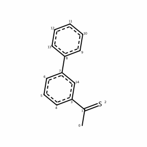 CC(=S)c1cccc(-c2ccccc2)c1